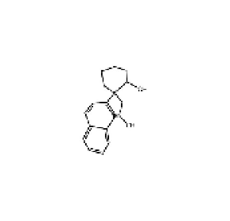 CNCC1(c2ccc3ccccc3c2)CCCCC1O